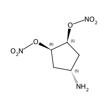 N[C@H]1C[C@H](O[N+](=O)[O-])[C@H](O[N+](=O)[O-])C1